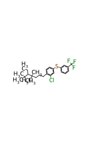 CCC(C(C)(C)C)C(C)(C)CCCc1ccc(Sc2cccc(C(F)(F)F)c2)cc1Cl